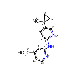 N#CC1(c2ccc(Nc3cc(C(=O)O)ccn3)nc2)CC1